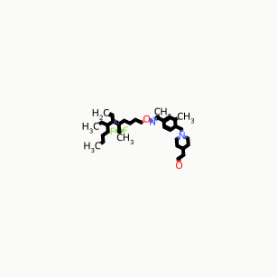 C=C/C(=C(\CCCCO/N=C(\C)C1=CC(C)C(CN2CCC(CC=O)CC2)C=C1)C(C)(F)F)C(CC)CCCC